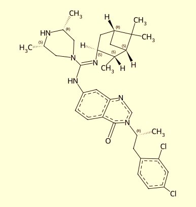 C[C@@H]1[C@@H](N=C(Nc2ccc3c(=O)n([C@H](C)Cc4ccc(Cl)cc4Cl)cnc3c2)N2C[C@@H](C)N[C@@H](C)C2)C[C@H]2C[C@@H]1C2(C)C